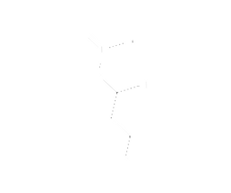 O=[PH](O)OC(Cl)CCCl